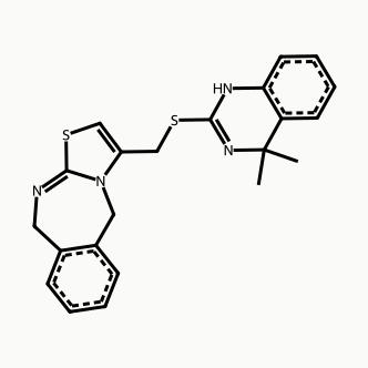 CC1(C)N=C(SCC2=CSC3=NCc4ccccc4CN23)Nc2ccccc21